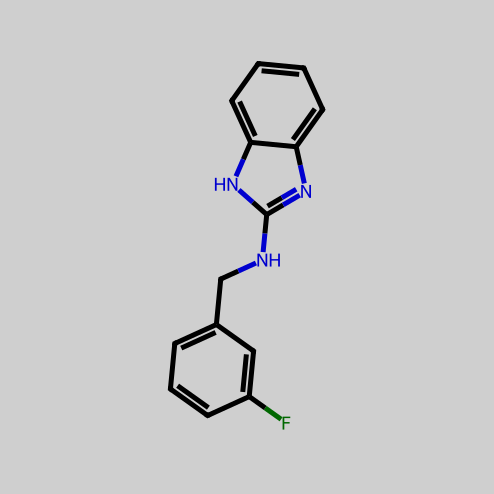 Fc1cccc(CNc2nc3ccccc3[nH]2)c1